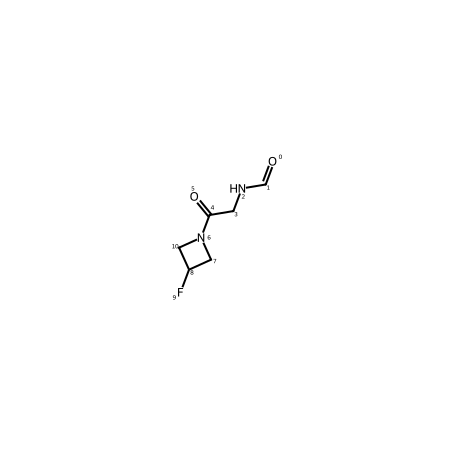 O=CNCC(=O)N1CC(F)C1